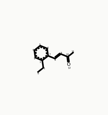 CCc1ccccc1/C=C/C(C)=O